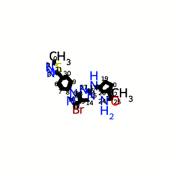 Cc1nnc(-c2ccc(-n3nc(Br)c4cnc(N[C@@H]5CC[C@@](C)(C(N)=O)C5)nc43)cc2)s1